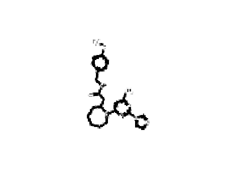 Cc1cc(N2CCCCCC2CC(=O)NCc2ccc(OC(F)(F)F)cc2)nc(-n2ccnc2)n1